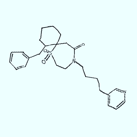 O=C1CC2(CCCCC2Cc2ccccc2)S(=O)(=O)CCN1CCCCc1cccnc1